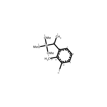 CO[Si](OC)(OC)C(C)c1cccc(I)c1C